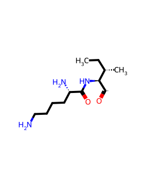 CC[C@H](C)[C@@H]([C]=O)NC(=O)[C@@H](N)CCCCN